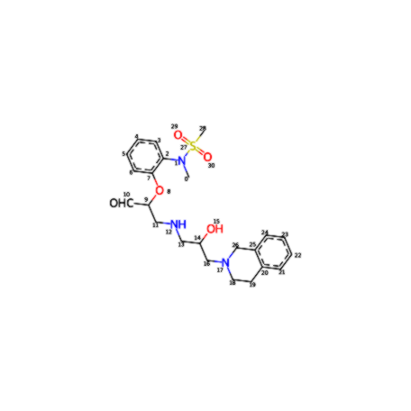 CN(c1ccccc1OC(C=O)CNCC(O)CN1CCc2ccccc2C1)S(C)(=O)=O